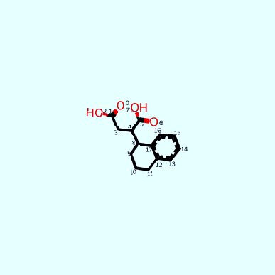 O=C(O)CC(C(=O)O)C1CCCc2ccccc21